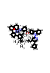 CC(C)Cc1cc(-n2c3ccccc3c3ccc(Oc4cccc(-n5c[n+](-c6c(-c7ccccc7)cccc6-c6cc(C(C)(C)C)cc(C(C)(C)C)c6)c6ccccc65)c4)cc32)ncc1-c1ccccc1